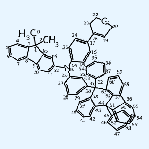 CC1(C)c2ccccc2-c2ccc(N(c3ccc(C4=CCCCC4)cc3)c3cccc(C4(c5ccccc5)c5ccccc5C5(c6ccccc6)c6ccccc6-c6cccc4c65)c3)cc21